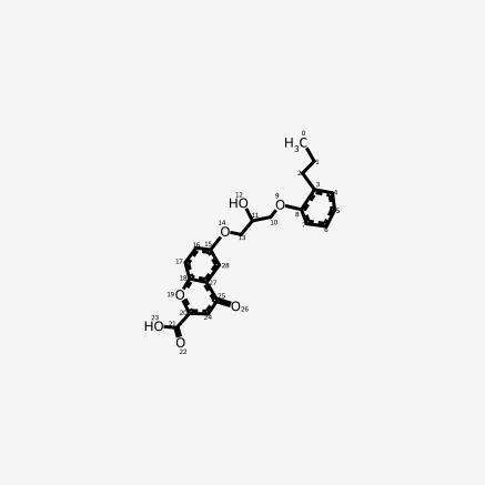 CCCc1ccccc1OCC(O)COc1ccc2oc(C(=O)O)cc(=O)c2c1